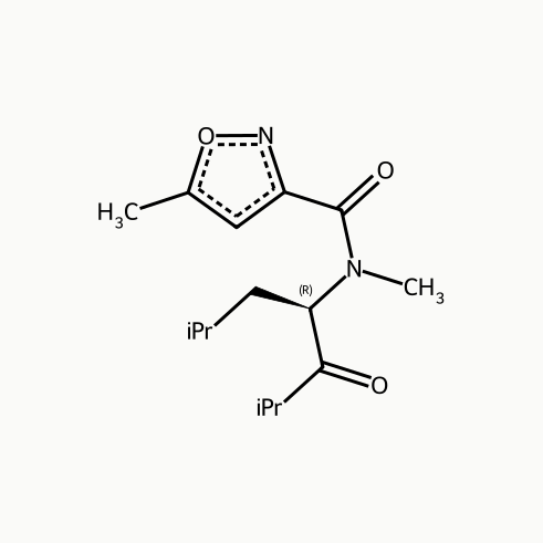 Cc1cc(C(=O)N(C)[C@H](CC(C)C)C(=O)C(C)C)no1